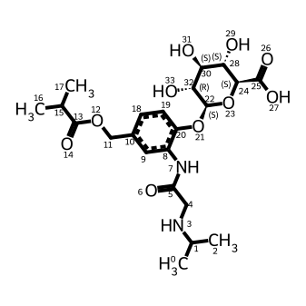 CC(C)NCC(=O)Nc1cc(COC(=O)C(C)C)ccc1O[C@@H]1O[C@H](C(=O)O)[C@@H](O)[C@H](O)[C@H]1O